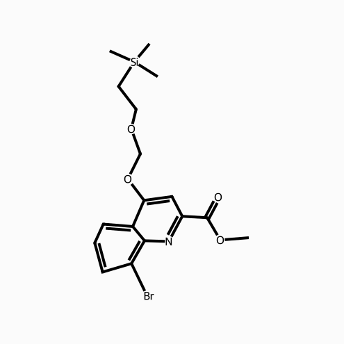 COC(=O)c1cc(OCOCC[Si](C)(C)C)c2cccc(Br)c2n1